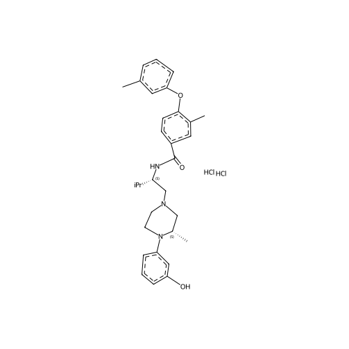 Cc1cccc(Oc2ccc(C(=O)N[C@H](CN3CCN(c4cccc(O)c4)[C@@H](C)C3)C(C)C)cc2C)c1.Cl.Cl